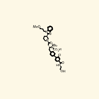 COCCCn1c([C@@H]2CCCN(C(=O)C[C@@H](Cc3ccc(-c4ccc(C(=O)NCCO)cc4Cl)cc3)N(C(=O)O)C(C)(C)C)C2)nc2ccccc21